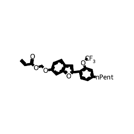 C=CC(=O)OCOc1ccc2cc(-c3ccc(CCCCC)cc3OC(F)(F)F)oc2c1